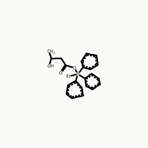 CCP(OC(=O)CC(C)O)(c1ccccc1)(c1ccccc1)c1ccccc1